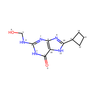 O=c1[nH]c(NCO)nc2nc(C3CCC3)[nH]c12